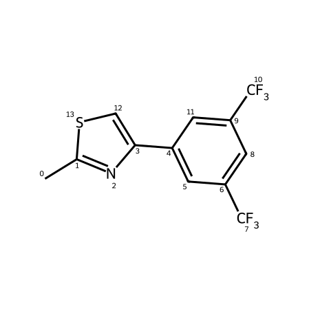 Cc1nc(-c2cc(C(F)(F)F)cc(C(F)(F)F)c2)cs1